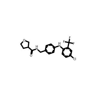 O=C(NCc1ccc(Nc2ccc(Cl)cc2C(F)(F)F)cc1)C1CCOC1